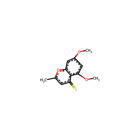 COc1cc(OC)c2c(=S)cc(C)oc2c1